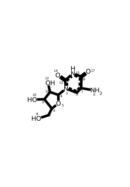 Nc1cn(C2OC(CO)C(O)C2O)c(=O)[nH]c1=O